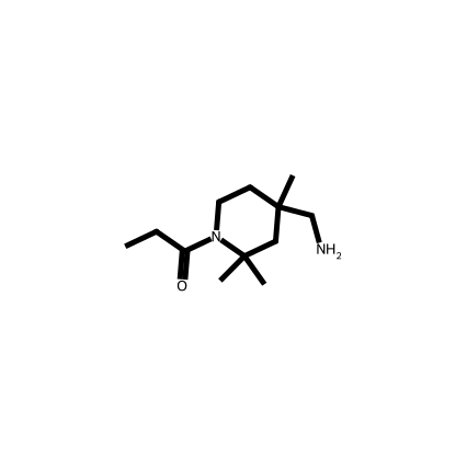 CCC(=O)N1CCC(C)(CN)CC1(C)C